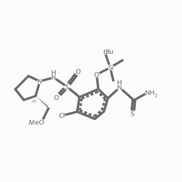 COC[C@@H]1CCCN1NS(=O)(=O)c1c(Cl)ccc(NC(N)=S)c1O[Si](C)(C)C(C)(C)C